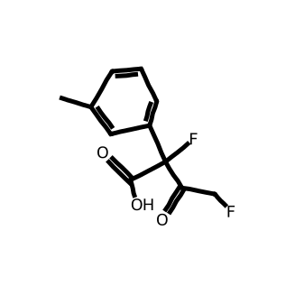 Cc1cccc(C(F)(C(=O)O)C(=O)CF)c1